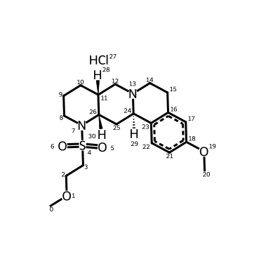 COCCS(=O)(=O)N1CCC[C@@H]2CN3CCc4cc(OC)ccc4[C@H]3C[C@@H]21.Cl